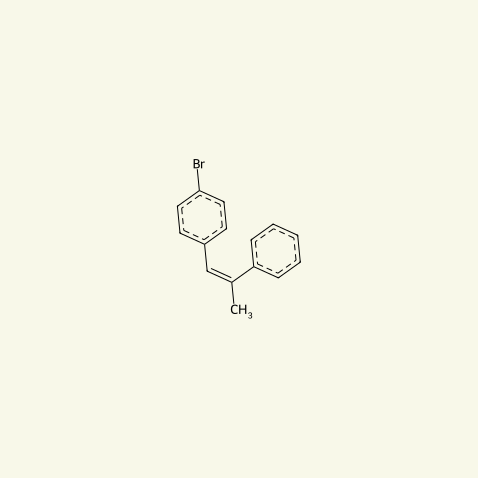 C/C(=C/c1ccc(Br)cc1)c1ccccc1